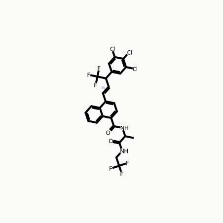 CC(NC(=O)c1ccc(/C=C/C(c2cc(Cl)c(Cl)c(Cl)c2)C(F)(F)F)c2ccccc12)C(=O)NCC(F)(F)F